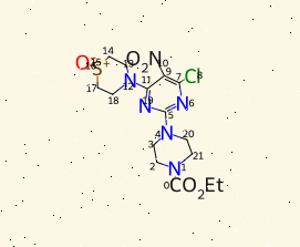 CCOC(=O)N1CCN(c2nc(Cl)c([N+](=O)[O-])c(N3CC[S+]([O-])CC3)n2)CC1